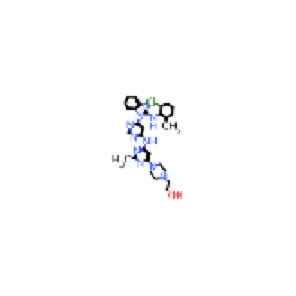 Cc1nc(Nc2cc(-n3c(Nc4c(C)cccc4Cl)nc4ccccc43)ncn2)cc(N2CCN(CCO)CC2)n1